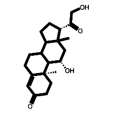 CC12C[C@H](O)C3C(CCC4=CC(=O)CC[C@@]43C)C1CC[C@@H]2C(=O)CO